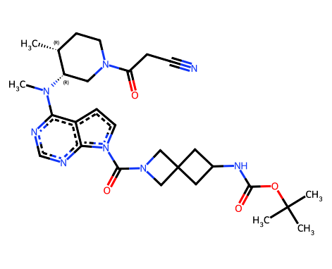 C[C@@H]1CCN(C(=O)CC#N)C[C@@H]1N(C)c1ncnc2c1ccn2C(=O)N1CC2(CC(NC(=O)OC(C)(C)C)C2)C1